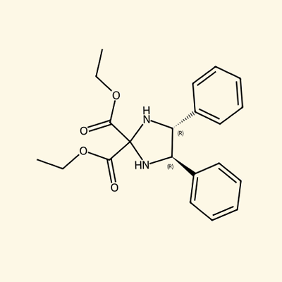 CCOC(=O)C1(C(=O)OCC)N[C@H](c2ccccc2)[C@@H](c2ccccc2)N1